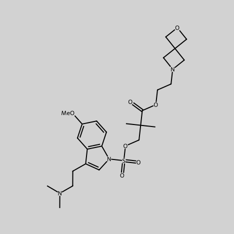 COc1ccc2c(c1)c(CCN(C)C)cn2S(=O)(=O)OCC(C)(C)C(=O)OCCN1CC2(COC2)C1